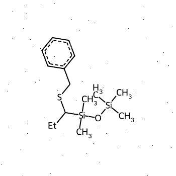 CCC(SCc1ccccc1)[Si](C)(C)O[Si](C)(C)C